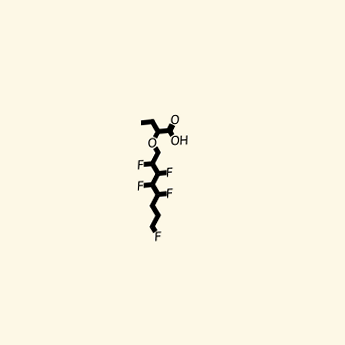 CCC(OCC(F)C(F)C(F)C(F)CCCF)C(=O)O